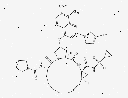 COc1ccc2c(O[C@@H]3C[C@H]4C(=O)N[C@]5(C(=O)NS(=O)(=O)C6CC6)C[C@H]5/C=C\CCCCC[C@H](NC(=O)N5CCCC5)C(=O)N4C3)cc(-c3nc(C(C)C)cs3)nc2c1C